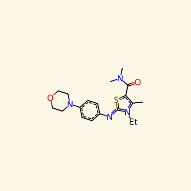 CCn1c(C)c(C(=O)N(C)C)s/c1=N\c1ccc(N2CCOCC2)cc1